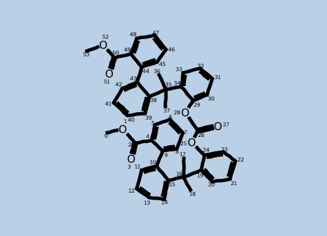 COC(=O)c1ccccc1-c1ccccc1C(C)(C)c1ccccc1OC(=O)Oc1ccccc1C(C)(C)c1ccccc1-c1ccccc1C(=O)OC